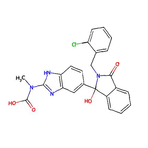 CN(C(=O)O)c1nc2cc(C3(O)c4ccccc4C(=O)N3Cc3ccccc3Cl)ccc2[nH]1